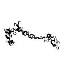 O=C1CCC(N2C(=O)c3cccc(NCCOCCCN4CCN(c5ncc(-n6cc(NC(=O)c7cnn8ccc(N9C[C@H]%10C[C@@H]9CO%10)nc78)c(C(F)F)n6)cn5)CC4)c3C2=O)C(=O)N1